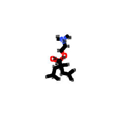 CC(C)CC(C)(CC(C)C)C(=O)OCCN(C)C